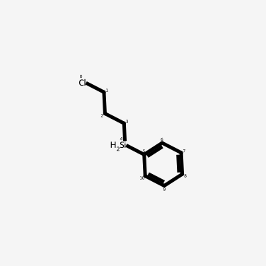 ClCCC[SiH2]c1ccccc1